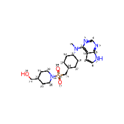 CN(c1ncnc2[nH]ccc12)[C@H]1CC[C@H](CS(=O)(=O)N2CCC(CO)CC2)CC1